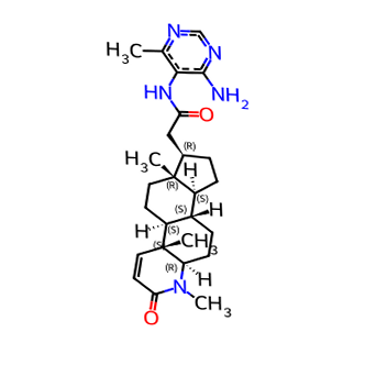 Cc1ncnc(N)c1NC(=O)C[C@H]1CC[C@H]2[C@@H]3CC[C@H]4N(C)C(=O)C=C[C@]4(C)[C@H]3CC[C@]12C